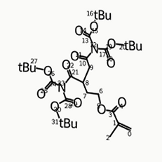 C=C(C)C(=O)OCCC(CC(=O)N(C(=O)OC(C)(C)C)C(=O)OC(C)(C)C)C(=O)N(C(=O)OC(C)(C)C)C(=O)OC(C)(C)C